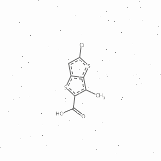 Cc1c(C(=O)O)sc2cc(Cl)sc12